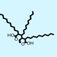 C=CC(C(CCCCCCCCCC)C(=O)O)C(CCCCCCCCCC)C(CCCCCCCCCC)C(=O)O